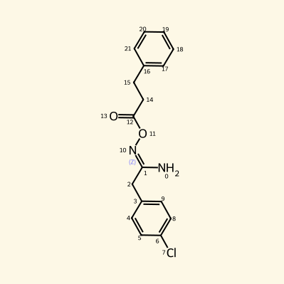 N/C(Cc1ccc(Cl)cc1)=N\OC(=O)CCc1ccccc1